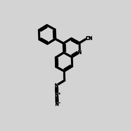 N#Cc1cc(-c2ccccc2)c2ccc(CN=[N+]=[N-])cc2n1